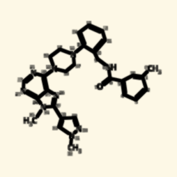 Cc1cccc(C(=O)NCc2ccccc2N2CCN(c3ncnc4c3nc(-c3cnn(C)c3)n4C)CC2)c1